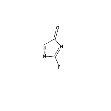 O=C1C=NC(F)=N1